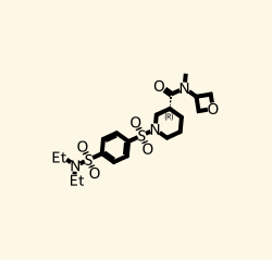 CCN(CC)S(=O)(=O)c1ccc(S(=O)(=O)N2CCC[C@@H](C(=O)N(C)C3COC3)C2)cc1